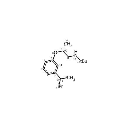 CC(C)[C@H](C)c1cccc(O[C@H](C)CNC(C)(C)C)c1